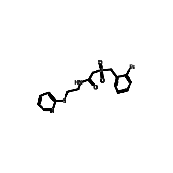 CCc1ccccc1CS(=O)(=O)CC(=O)NCCSc1ccccn1